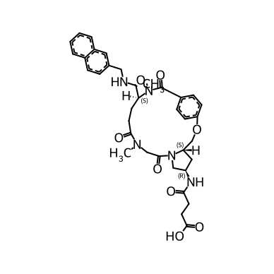 CN1CC(=O)N2C[C@H](NC(=O)CCC(=O)O)C[C@H]2COc2ccc(cc2)C(=O)N(C)[C@H](C(=O)NCc2ccc3ccccc3c2)CCC1=O